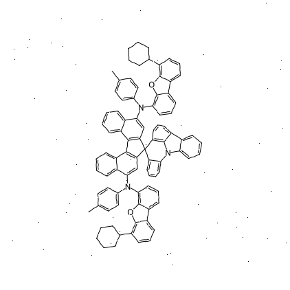 Cc1ccc(N(c2cc3c(c4ccccc24)-c2c(cc(N(c4ccc(C)cc4)c4cccc5c4oc4c(C6CCCCC6)cccc45)c4ccccc24)C32c3ccccc3-n3c4ccccc4c4cccc2c43)c2cccc3c2oc2c(C4CCCCC4)cccc23)cc1